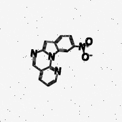 O=[N+]([O-])c1ccc2cc3ncc4cccnc4n3c2c1